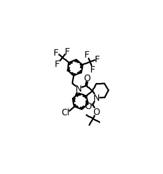 CN(Cc1cc(C(F)(F)F)cc(C(F)(F)F)c1)C(=O)C1(c2ccc(Cl)cc2)CCCCN1C(=O)OC(C)(C)C